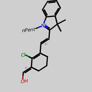 CCCCC[N+]1=C(/C=C/C2=C(Cl)C(=C/O)/CCC2)C(C)(C)c2ccccc21